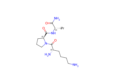 CC(C)[C@H](NC(=O)[C@@H]1CCCN1C(=O)[C@@H](N)CCCCN)C(N)=O